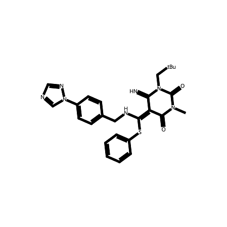 CN1C(=O)/C(=C(/NCc2ccc(-n3cncn3)cc2)Sc2ccccc2)C(=N)N(CC(C)(C)C)C1=O